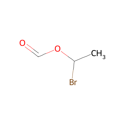 CC(Br)OC=O